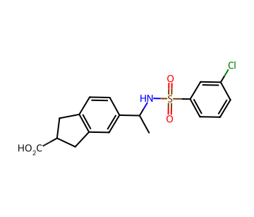 CC(NS(=O)(=O)c1cccc(Cl)c1)c1ccc2c(c1)CC(C(=O)O)C2